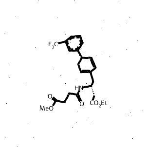 CCOC(=O)C[C@@H](CC1=CCC(c2cccc(C(F)(F)F)c2)C=C1)NC(=O)CCC(=O)OC